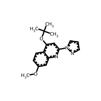 COc1ccc2c(OC(C)(C)C)cc(-n3cccn3)nc2c1